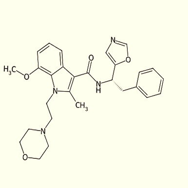 COc1cccc2c(C(=O)N[C@@H](Cc3ccccc3)c3cnco3)c(C)n(CCN3CCOCC3)c12